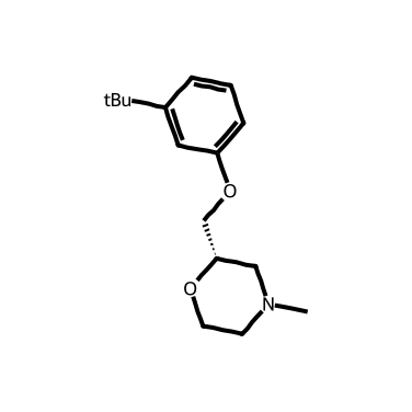 CN1CCO[C@H](COc2cccc(C(C)(C)C)c2)C1